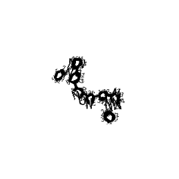 c1ccc(-n2c3cc(-c4cnc5oc6ncc(-c7ccc8c9nccnc9n(-c9ccccc9)c8c7)cc6c5c4)ccc3c3nccnc32)cc1